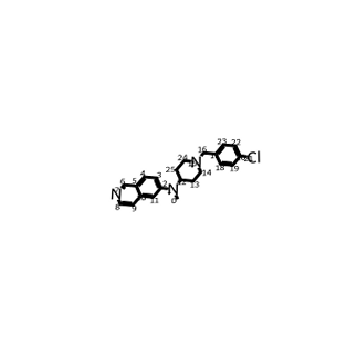 CN(c1ccc2cnccc2c1)C1CCN(Cc2ccc(Cl)cc2)CC1